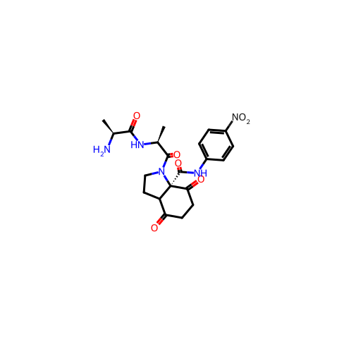 C[C@H](N)C(=O)N[C@@H](C)C(=O)N1CCC2C(=O)CCC(=O)[C@@]21C(=O)Nc1ccc([N+](=O)[O-])cc1